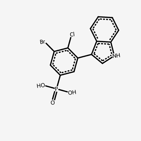 O=P(O)(O)c1cc(Br)c(Cl)c(-c2c[nH]c3ccccc23)c1